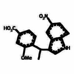 COc1cc(C(=O)O)ccc1C(C)c1c[nH]c2ccc([N+](=O)[O-])cc12